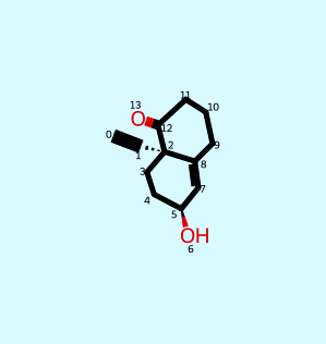 C#C[C@@]12CC[C@H](O)C=C1CCCC2=O